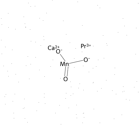 [Ca+2].[O]=[Mn]([O-])[O-].[Pr+3]